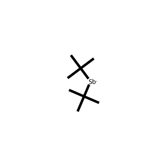 C[C](C)(C)[Sb][C](C)(C)C